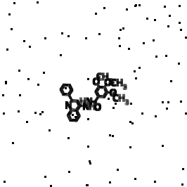 COc1cc(C(=O)NNc2cc(-c3ccccc3)nc3ccccc23)cc(OC)c1OC